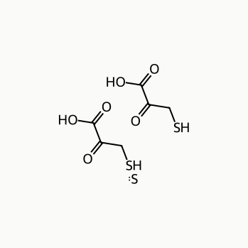 O=C(O)C(=O)CS.O=C(O)C(=O)CS.[S]